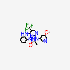 C=CC(=O)Nc1ccccc1Nc1nc(Nc2cncc(OC)c2)ncc1C(F)(F)F